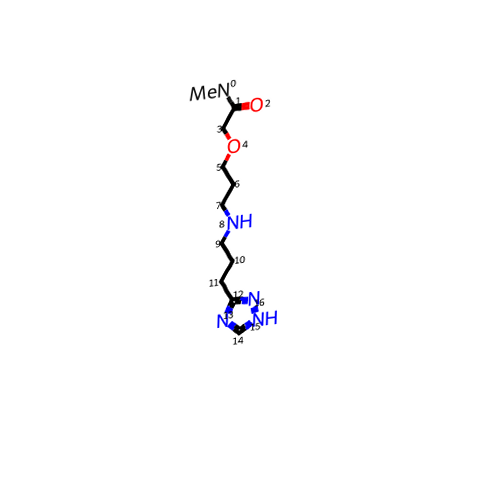 CNC(=O)COCCCNCCCc1nc[nH]n1